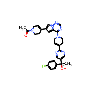 CC(=O)N1CC=C(c2cc3c(N4CC=C(c5ncc([C@](C)(O)c6ccc(F)cc6)cn5)CC4)ncnn3c2)CC1